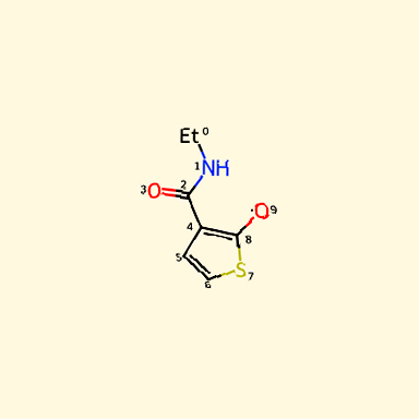 CCNC(=O)c1ccsc1[O]